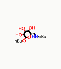 CCCCNC[C@H]1OC(OCCCC)[C@H](O)[C@@H](O)[C@@H]1O